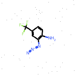 [N-]=[N+]=Nc1cc(C(F)(F)F)ccc1N